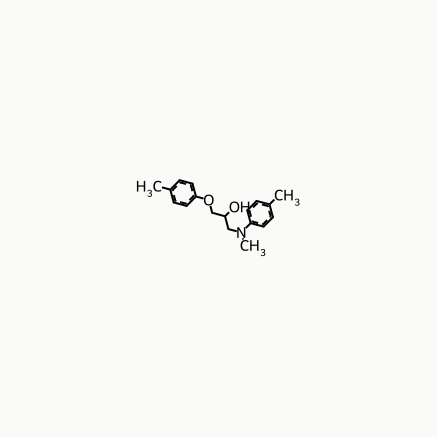 Cc1ccc(OCC(O)CN(C)c2ccc(C)cc2)cc1